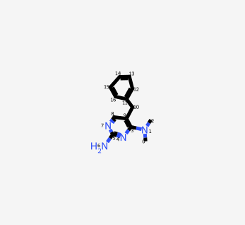 CN(C)c1nc(N)ncc1Cc1ccccc1